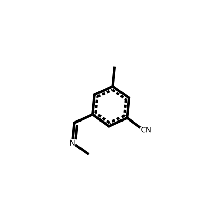 C/N=C\c1cc(C)cc(C#N)c1